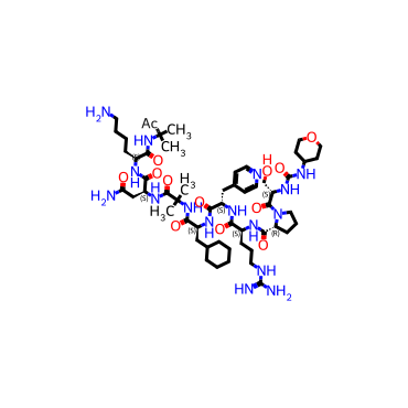 CC(=O)C(C)(C)NC(=O)[C@H](CCCCN)NC(=O)[C@H](CC(N)=O)NC(=O)C(C)(C)NC(=O)[C@H](CC1CCCCC1)NC(=O)[C@H](Cc1ccncc1)NC(=O)[C@H](CCCNC(=N)N)NC(=O)[C@H]1CCCN1C(=O)[C@H](CO)NC(=O)NC1CCOCC1